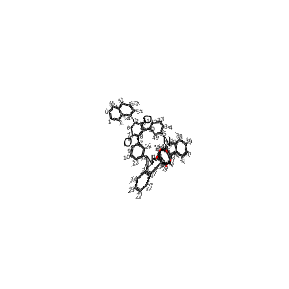 c1ccc2c(-c3cc4oc5ccc(-n6c7ccccc7c7ccccc76)cc5c4c4c3oc3ccc(-n5c6ccccc6c6ccccc65)cc34)cccc2c1